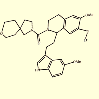 CCOc1cc2c(cc1OC)CCN(C(=O)N1CCC3(CCOCC3)C1)C2CCc1c[nH]c2ccc(OC)cc12